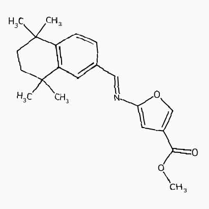 COC(=O)c1coc(N=Cc2ccc3c(c2)C(C)(C)CCC3(C)C)c1